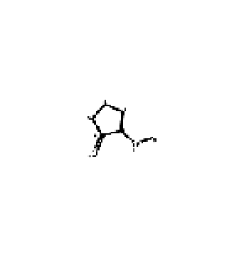 C[Se]C1CCCC1=O